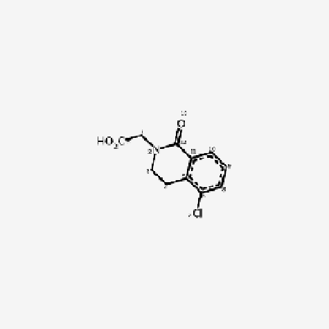 O=C(O)CN1CCc2c(Cl)cccc2C1=O